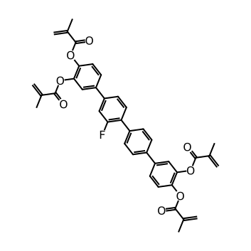 C=C(C)C(=O)Oc1ccc(-c2ccc(-c3ccc(-c4ccc(OC(=O)C(=C)C)c(OC(=O)C(=C)C)c4)cc3F)cc2)cc1OC(=O)C(=C)C